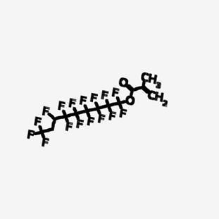 C=C(C)C(=O)OC(F)(F)C(F)(F)C(F)(F)C(F)(F)C(F)(F)C(F)(F)C(F)CC(F)(F)F